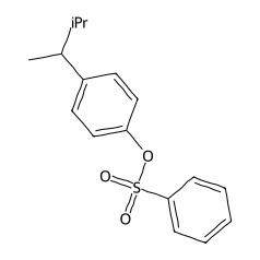 CC(C)C(C)c1ccc(OS(=O)(=O)c2ccccc2)cc1